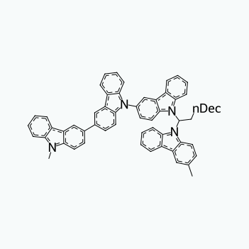 CCCCCCCCCCCC(n1c2ccccc2c2cc(C)ccc21)n1c2ccccc2c2cc(-n3c4ccccc4c4cc(-c5ccc6c(c5)c5ccccc5n6C)ccc43)ccc21